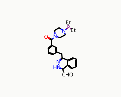 CCP(CC)N1CCN(C(=O)c2cccc(CC3=NNC(C=O)c4ccccc43)c2)CC1